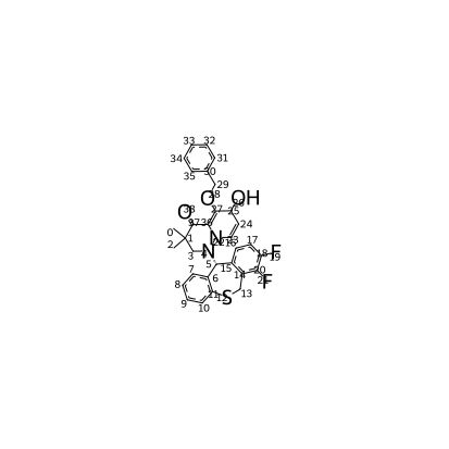 CC1(C)CN([C@H]2c3ccccc3SCc3c2ccc(F)c3F)N2C=CC(O)C(OCc3ccccc3)=C2C1=O